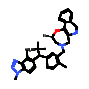 CC[C@H]1CN(Cc2cc(C(c3ccc4c(nnn4C)c3C)C(C)(C)C(=O)O)ccc2C)Cc2ncc3ccccc3c2O1